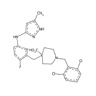 Cc1cc(Nc2ccc(F)c(CC3(C(=O)O)CCN(Cc4c(Cl)cccc4Cl)CC3)n2)n[nH]1